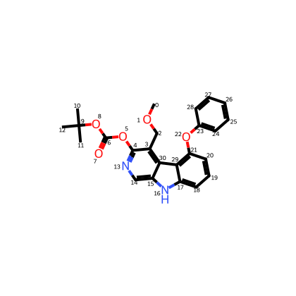 COCc1c(OC(=O)OC(C)(C)C)ncc2[nH]c3cccc(Oc4ccccc4)c3c12